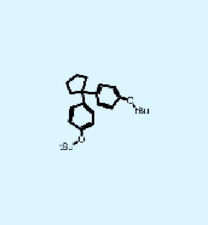 CC(C)(C)Oc1ccc(C2(c3ccc(OC(C)(C)C)cc3)CCCC2)cc1